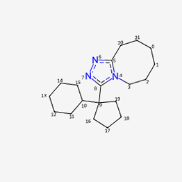 C1CCCn2c(nnc2C2(C3CCCCC3)CCCC2)CC1